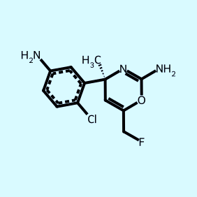 C[C@@]1(c2cc(N)ccc2Cl)C=C(CF)OC(N)=N1